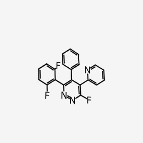 Fc1cccc(F)c1-c1nnc(F)c(-c2ccccn2)c1-c1ccccc1